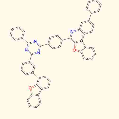 c1ccc(-c2ccc3c(c2)nc(-c2ccc(-c4nc(-c5ccccc5)nc(-c5cccc(-c6cccc7c6oc6ccccc67)c5)n4)cc2)c2oc4ccccc4c23)cc1